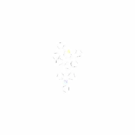 c1ccc(-n2c3ccccc3c3c(-c4ccc(C5(c6ccccc6)c6c(c7ccccc7c7ccccc67)Sc6c5c5ccccc5c5ccccc65)cc4)cccc32)cc1